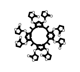 CC1c2cc(c(OC3CCOC3=O)cc2OC2CCOC2=O)C(C)c2cc(c(OC3CCOC3=O)cc2OC2CCOC2=O)C(C)c2cc(c(OC3CCOC3=O)cc2OC2CCOC2=O)C(C)c2cc1c(OC1CCOC1=O)cc2OC1CCOC1=O